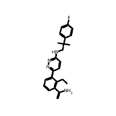 C=C(N)c1cccc(-c2ccc(NCC(C)(C)c3ccc(F)cc3)nn2)c1CC